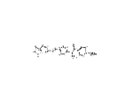 COc1ccc(C(=O)C(C)c2ccc(/C=C/c3ccc4c(c3)OCO4)cc2)cc1